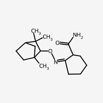 CC12CCC(C1)C(C)(C)C2ON=C1CCCCC1C(N)=O